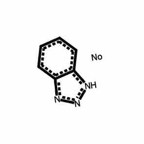 [No].c1ccc2[nH]nnc2c1